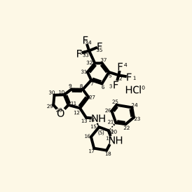 Cl.FC(F)(F)c1cc(-c2cc3c(c(CN[C@H]4CCCN[C@H]4c4ccccc4)c2)OCC3)cc(C(F)(F)F)c1